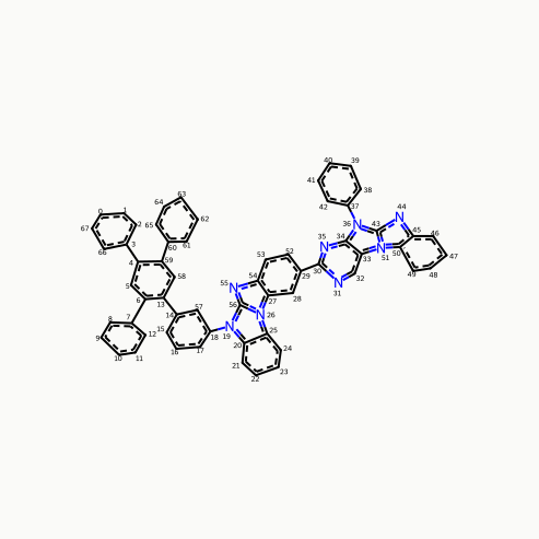 c1ccc(-c2cc(-c3ccccc3)c(-c3cccc(-n4c5ccccc5n5c6cc(-c7ncc8c(n7)n(-c7ccccc7)c7nc9ccccc9n87)ccc6nc45)c3)cc2-c2ccccc2)cc1